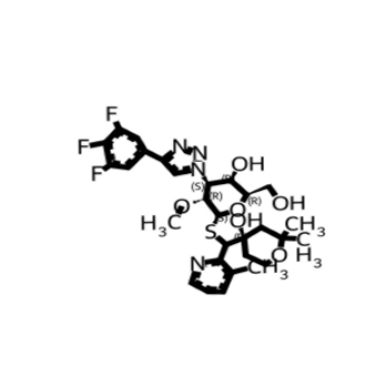 CO[C@@H]1[C@@H](n2cc(-c3cc(F)c(F)c(F)c3)nn2)[C@@H](O)[C@@H](CO)O[C@H]1SC(c1ncccc1C)[C@@]1(O)CCOC(C)(C)C1